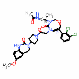 COc1ccc2c(c1)CCN(C1CCN(C(=O)CN3/C=C(/c4cccc(Cl)c4Cl)COCN([C@@H](C)CNC(C)=O)C3=O)CC1)C(=O)N2